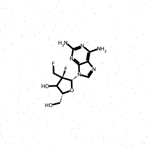 Nc1nc(N)c2ncn([C@@H]3O[C@H](CO)C(O)[C@]3(F)CF)c2n1